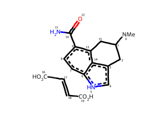 CNC1Cc2c[nH]c3ccc(C(N)=O)c(c23)C1.O=C(O)C=CC(=O)O